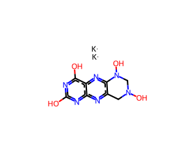 Oc1nc(O)c2nc3c(nc2n1)CN(O)CN3O.[K].[K]